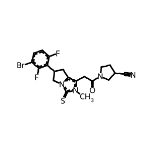 Cn1c(CC(=O)N2CCC(C#N)C2)c2n(c1=S)CC(c1c(F)ccc(Br)c1F)C2